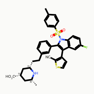 Cc1ccc(S(=O)(=O)n2c(-c3cccc(CC[C@H]4C[C@@H](C(=O)O)C[C@@H](C)N4)c3)c(-c3ccsc3C#N)c3cc(F)ccc32)cc1